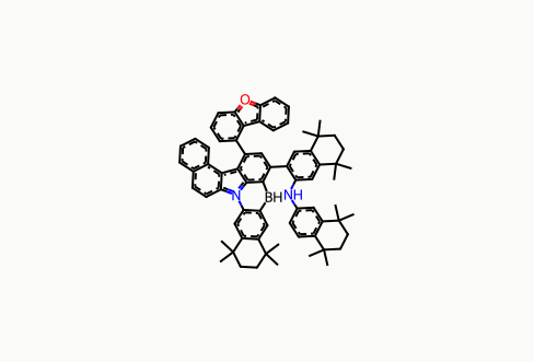 CC1(C)CCC(C)(C)c2cc(Nc3cc4c(cc3-c3cc(-c5cccc6oc7ccccc7c56)c5c6c7ccccc7ccc6n6c5c3Bc3cc5c(cc3-6)C(C)(C)CCC5(C)C)C(C)(C)CCC4(C)C)ccc21